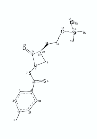 Cc1ccc(C(=S)SN2C[C@H](CCO[Si](C)(C)C(C)(C)C)C2=O)cc1